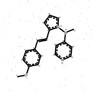 COc1ccc(/C=C/c2cccn2N(C)c2ccncc2)cc1